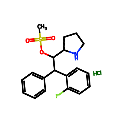 CS(=O)(=O)OC(C1CCCN1)C(c1ccccc1)c1ccccc1F.Cl